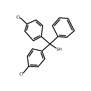 SC(c1ccccc1)(c1ccc(Cl)cc1)c1ccc(Cl)cc1